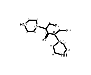 O=C(C(CF)N1CCNCC1)C(CF)N1CCNCC1